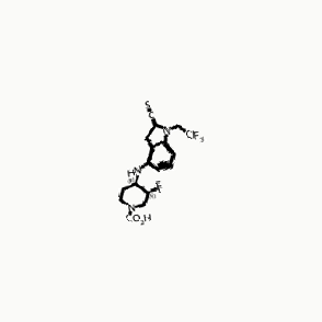 O=C(O)N1CC[C@@H](Nc2cccc3c2CC(=C=S)N3CC(F)(F)F)[C@@H](F)C1